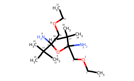 CCOCC(N)(OC(N)(COCC)C(C)(C)C)C(C)(C)C